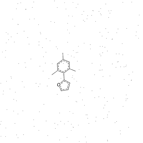 Cc1cc(C)c(-c2ccco2)c(C)c1